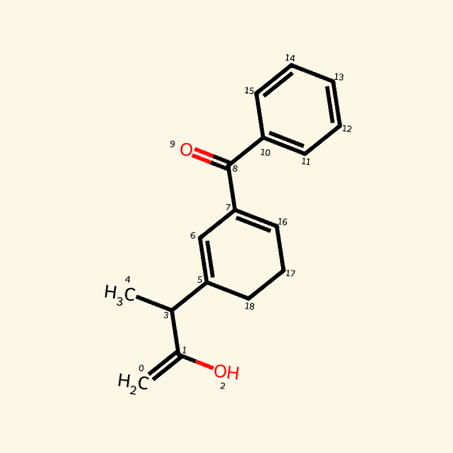 C=C(O)C(C)C1=CC(C(=O)c2ccccc2)=CCC1